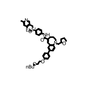 CCCCOCCOc1ccc(-c2ccc3c(c2)/C=C(/C(=O)Nc2ccc([S+]([O-])Cc4cnc(C)cc4CC)cc2)CCCN3CC2CCCO2)cc1